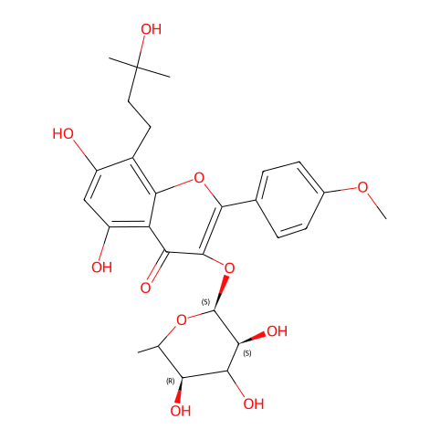 COc1ccc(-c2oc3c(CCC(C)(C)O)c(O)cc(O)c3c(=O)c2O[C@@H]2OC(C)[C@H](O)C(O)[C@@H]2O)cc1